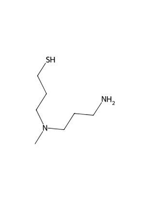 CN(CCCN)CCCS